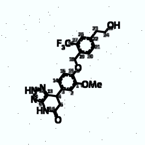 COc1cc(C2CC(=O)Nc3n[nH]nc32)ccc1OCc1ccc(CCO)cc1C(F)(F)F